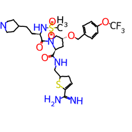 CS(=O)(=O)N[C@H](CCC1CCNCC1)C(=O)N1C[C@H](OCc2ccc(OC(F)(F)F)cc2)C[C@H]1C(=O)NCC1CC=C(C(=N)N)S1